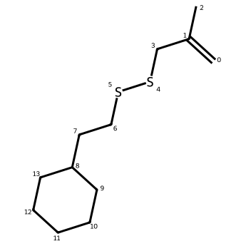 C=C(C)CSSCCC1CCCCC1